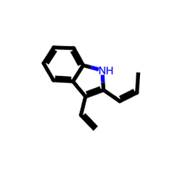 C=Cc1c(/C=C\C)[nH]c2ccccc12